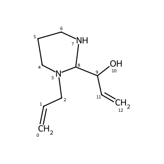 C=CCN1CCCNC1C(O)C=C